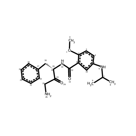 COc1ccc(NC(C)C)cc1C(=O)N[C@@H](Cc1ccccc1)C(=O)CN